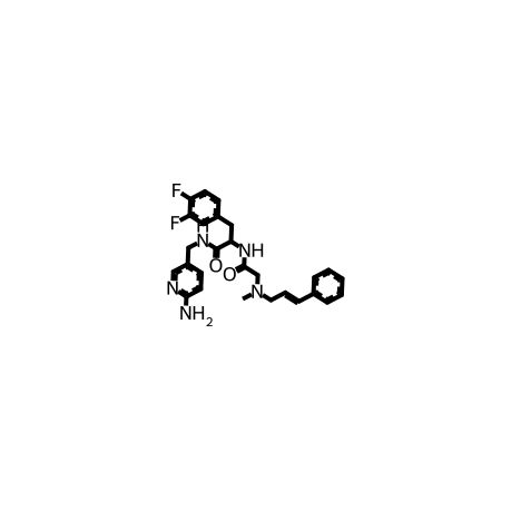 CN(CC=Cc1ccccc1)CC(=O)NC(Cc1ccc(F)c(F)c1)C(=O)NCc1ccc(N)nc1